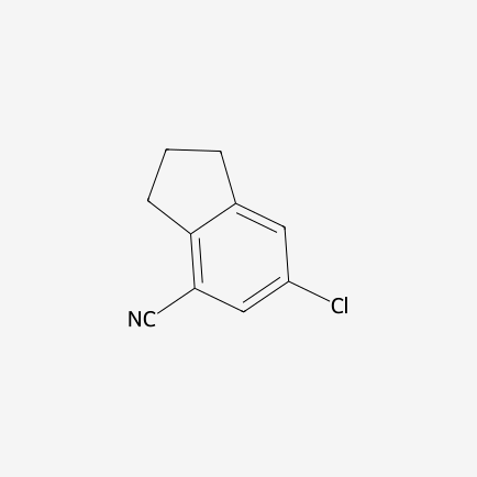 N#Cc1cc(Cl)cc2c1CCC2